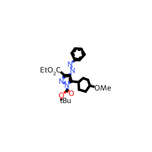 CCOC(=O)c1nn(C(=O)OC(C)(C)C)c(C2CCC(OC)CC2)c1/N=N/c1ccccc1